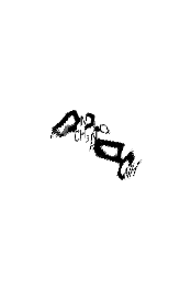 Cc1ncccc1N1CC[C@H](C(=O)Nc2ccc(C3CCNCC3)cc2)C1